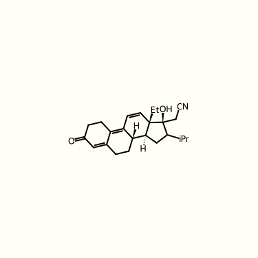 CC[C@]12C=CC3=C4CCC(=O)C=C4CC[C@H]3[C@@H]1CC(C(C)C)[C@@]2(O)CC#N